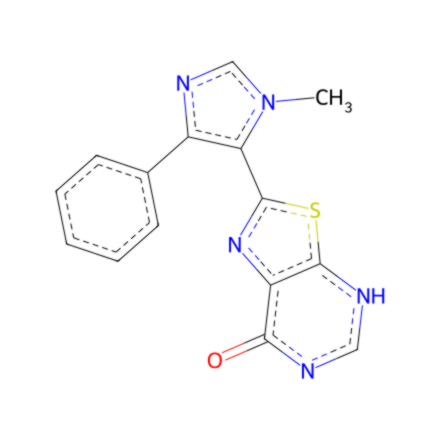 Cn1cnc(-c2ccccc2)c1-c1nc2c(=O)nc[nH]c2s1